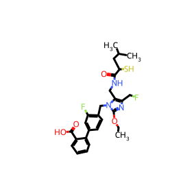 CCOc1nc(CF)c(CNC(=O)C(S)CC(C)C)n1Cc1ccc(-c2ccccc2C(=O)O)cc1F